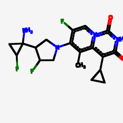 Cc1c(N2CC(F)C(C3(N)CC3F)C2)c(F)cn2c(=O)[nH]c(=O)c(C3CC3)c12